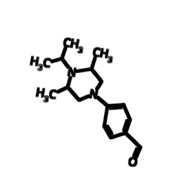 CC(C)N1C(C)CN(c2ccc(C=O)cc2)CC1C